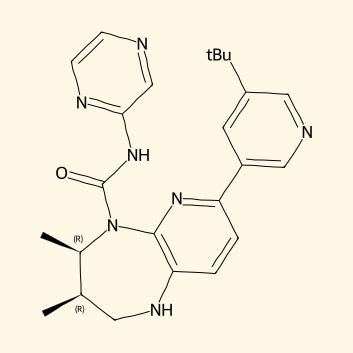 C[C@@H]1CNc2ccc(-c3cncc(C(C)(C)C)c3)nc2N(C(=O)Nc2cnccn2)[C@@H]1C